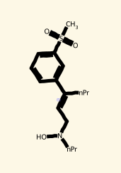 CCC/C(=C\CN(O)CCC)c1cccc(S(C)(=O)=O)c1